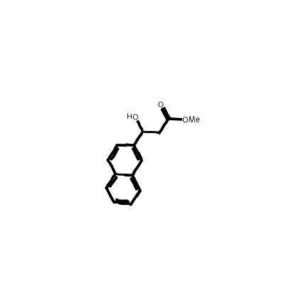 COC(=O)CC(O)c1ccc2ccccc2c1